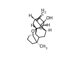 C=C1[C@H]2CCC3(C(C2)[C@@]24CCC[C@@]5(C)CO[C@@H]2O[C@@H]3CC54)[C@H]1O